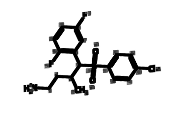 CC(CCN)C(c1cc(F)ccc1F)S(=O)(=O)c1ccc(Cl)cc1